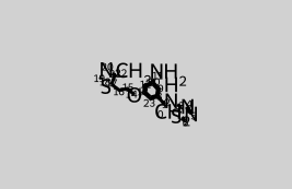 C=C(Nc1nncs1)c1cc(N)cc(OCCC2SC=NC2C)c1